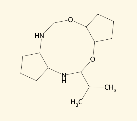 CC(C)C1NC2CCCC2NCOC2CCCC2O1